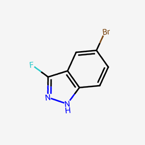 Fc1n[nH]c2ccc(Br)cc12